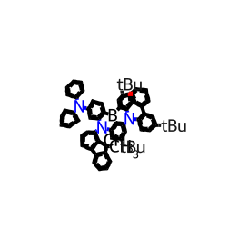 CC(C)(C)c1ccc2c(c1)B1c3ccc(N(c4ccccc4)c4ccccc4)cc3N(c3cccc4c3C(C)(C)c3ccccc3-4)c3cc(C(C)(C)C)cc(c31)N2c1ccc(C(C)(C)C)cc1-c1ccccc1